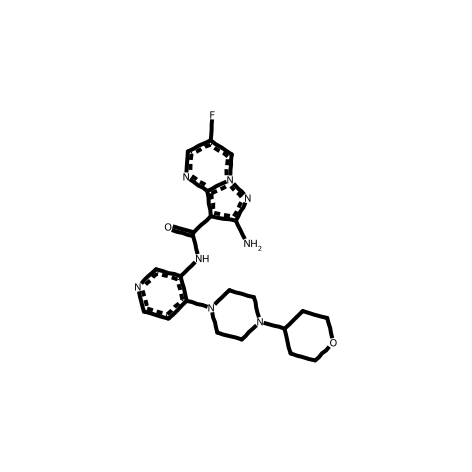 Nc1nn2cc(F)cnc2c1C(=O)Nc1cnccc1N1CCN(C2CCOCC2)CC1